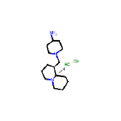 Cl.Cl.NC1CCN(C[C@@H]2CCCN3CCCC[C@H]23)CC1